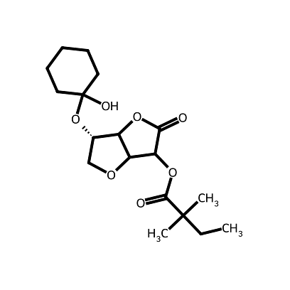 CCC(C)(C)C(=O)OC1C(=O)OC2C1OC[C@@H]2OC1(O)CCCCC1